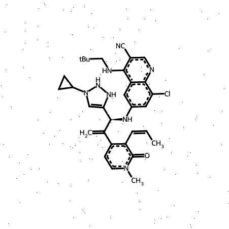 C=C(c1ccn(C)c(=O)c1/C=C\C)[C@H](Nc1cc(Cl)c2ncc(C#N)c(NCC(C)(C)C)c2c1)C1=CN(C2CC2)NN1